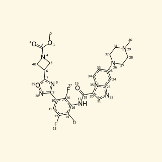 COC(=O)N1CC(c2nc(-c3cc(F)c(C)c(NC(=O)c4cnc5cc(N6CCN(C)CC6)ccn45)c3F)no2)C1